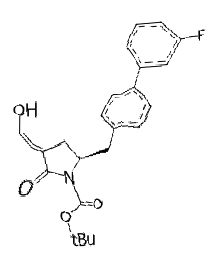 CC(C)(C)OC(=O)N1C(=O)/C(=C/O)C[C@H]1Cc1ccc(-c2cccc(F)c2)cc1